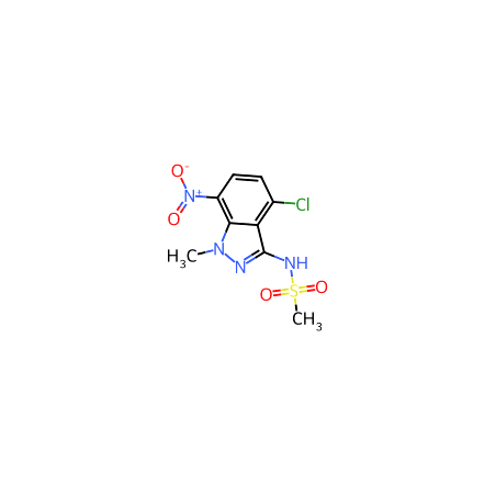 Cn1nc(NS(C)(=O)=O)c2c(Cl)ccc([N+](=O)[O-])c21